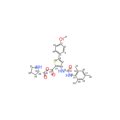 COc1ccc(-c2cc(NC(=O)Nc3c(C)cc(C)cc3C)c(C(=O)OC(=O)[C@@H]3CCCN3)s2)cc1